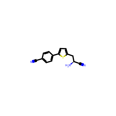 N#Cc1ccc(-c2ccc(C[C@H](N)C#N)s2)cc1